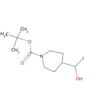 CC(C)(C)OC(=O)N1CCC(C(O)I)CC1